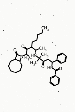 CCCCCC(C(=O)C(C)N1C(=O)C2CCCCCCC21)C(C)NC(C)(C)C(=O)CC(NC(=O)c1ccccc1)c1ccccc1